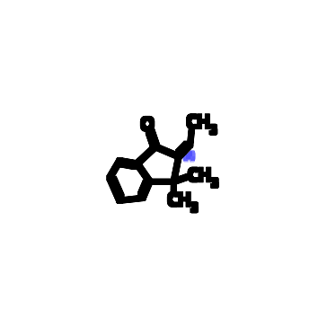 C/C=C1\C(=O)c2ccccc2C1(C)C